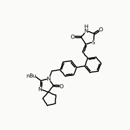 CCCCC1=NC2(CCCC2)C(=O)N1Cc1ccc(-c2ccccc2/C=C2\SC(=O)NC2=O)cc1